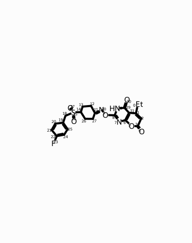 CCc1cc(=O)oc2nc(ON=C3CCC(S(=O)(=O)Cc4ccc(F)cc4)CC3)[nH]c(=O)c12